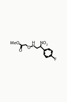 COC(=O)CONCC(c1ccc(F)cc1)[N+](=O)[O-]